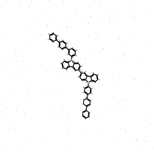 C1=C(c2ccccc2)CCC(c2ccc(-n3c4ccccc4c4cc(-c5ccc6c(c5)c5ccccc5n6-c5cccc(-c6ccc(-c7ccccc7)cc6)c5)ccc43)cc2)=C1